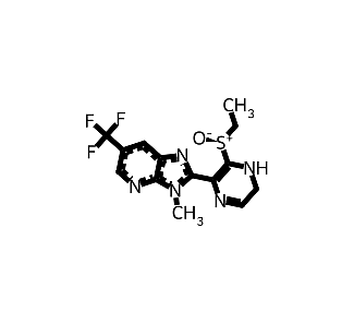 CC[S@+]([O-])C1=C(c2nc3cc(C(F)(F)F)cnc3n2C)N=CCN1